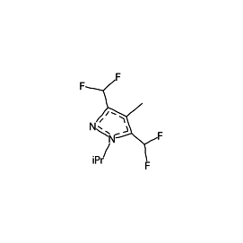 Cc1c(C(F)F)nn(C(C)C)c1C(F)F